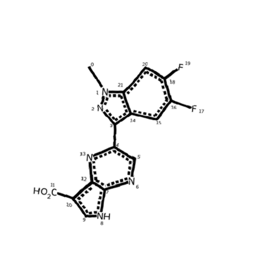 Cn1nc(-c2cnc3[nH]cc(C(=O)O)c3n2)c2cc(F)c(F)cc21